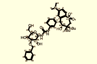 CCCCC1(CCCC)CS(=O)(=O)c2ccc(N(C)C)cc2[C@@H](c2cccc(NC(=O)N[C@@H]3O[C@H](CO)[C@@H](O)[C@H](OCc4ccccc4)[C@H]3O)c2)[C@H]1O